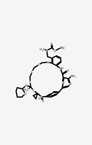 CN(Cc1cccc2c1OCCCCCCC(C)(OC1CCCCO1)CC1(CC1)S(=O)(=O)c1ccc(cc1)-c1cnc(N)c(n1)C(=O)N2)C(=O)OC(C)(C)C